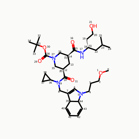 COCCCN1C=C(CN(C(=O)[C@@H]2C[C@H](C(=O)N[C@H](CCO)CC(C)C)CN(C(=O)OC(C)(C)C)C2)C2CC2)C2C=CC=CC21